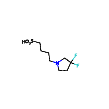 O=S(=O)(O)CCCCN1CCC(F)(F)C1